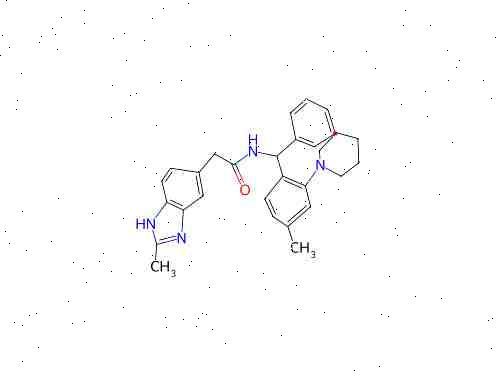 Cc1ccc(C(NC(=O)Cc2ccc3[nH]c(C)nc3c2)c2ccccc2)c(N2CCCCC2)c1